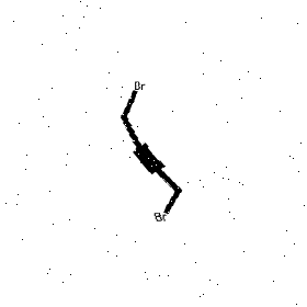 BrCC#CCBr